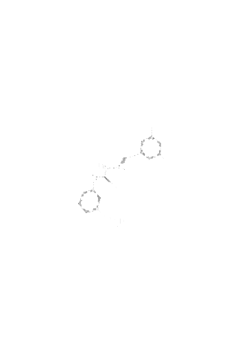 O=C(O)c1cccc(NC(=S)N/N=C/c2cc(Cl)cc(Cl)c2O)c1